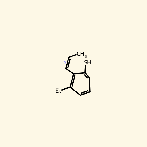 C/C=C\c1c(S)cccc1CC